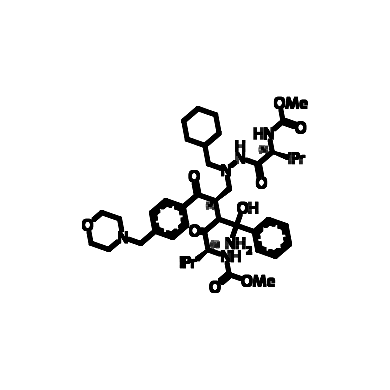 COC(=O)N[C@H](C(=O)NN(CC1CCCCC1)C[C@H](C(=O)c1ccc(CN2CCOCC2)cc1)C(C(=O)[C@@H](NC(=O)OC)C(C)C)C(N)(O)c1ccccc1)C(C)C